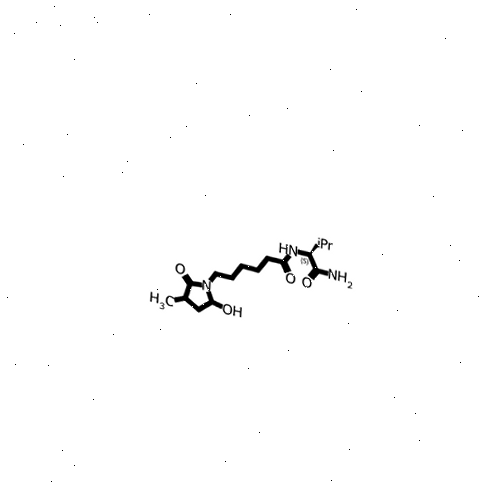 CC1CC(O)N(CCCCCC(=O)N[C@H](C(N)=O)C(C)C)C1=O